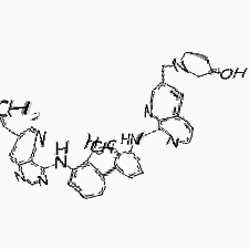 C=Cc1cnc2c(Nc3cccc(-c4cccc(Nc5nccc6cc(CN7CC[C@@H](O)C7)cnc56)c4C)c3C)ncnc2c1